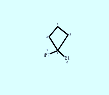 CCC1(C(C)C)CCC1